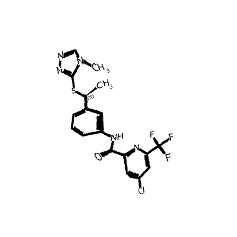 C[C@H](Sc1nncn1C)c1cccc(NC(=O)c2cc(Cl)cc(C(F)(F)F)n2)c1